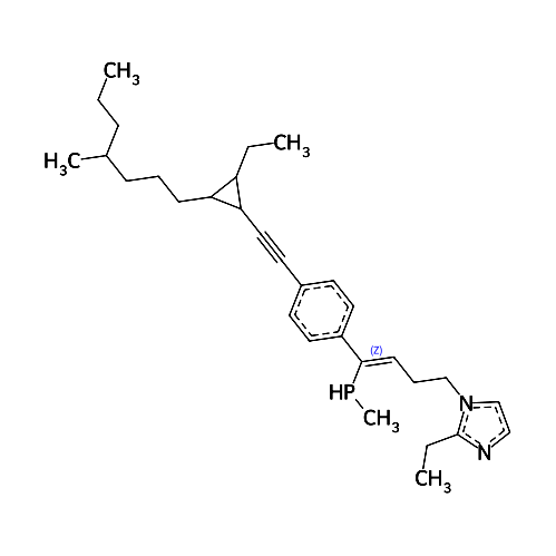 CCCC(C)CCCC1C(C#Cc2ccc(/C(=C/CCn3ccnc3CC)PC)cc2)C1CC